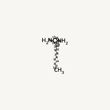 CCCCCCCCCCCCOc1cc(N)ccc1N